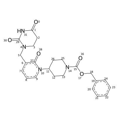 O=C1CCN(Cc2cccn(C3CCN(C(=O)OCc4ccccc4)CC3)c2=O)C(=O)N1